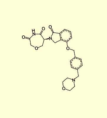 O=C1COC[C@H](N2Cc3c(OCc4ccc(CN5CCOCC5)cc4)cccc3C2=O)C(=O)N1